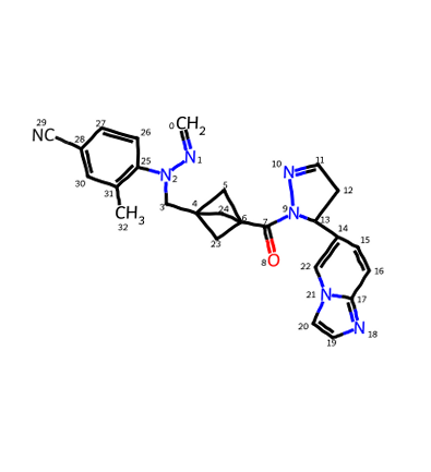 C=NN(CC12CC(C(=O)N3N=CCC3c3ccc4nccn4c3)(C1)C2)c1ccc(C#N)cc1C